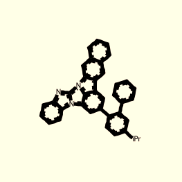 CC(C)c1ccc(-c2cc3c4cc5ccccc5cc4n4c3c(c2)n2c3ccccc3nc24)c(-c2ccccc2)c1